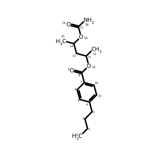 CCCCc1ccc(C(=O)OC(C)CC(C)OC(N)=O)cc1